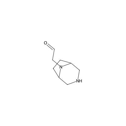 O=CCN1C2CCC1CNC2